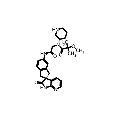 COC(C)(C)C(=O)N(CC(=O)Nc1ccc2c(c1)C[C@@]1(C2)C(=O)Nc2ncccc21)[C@H]1CCCNC1